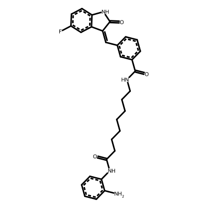 Nc1ccccc1NC(=O)CCCCCCCNC(=O)c1cccc(C=C2C(=O)Nc3ccc(F)cc32)c1